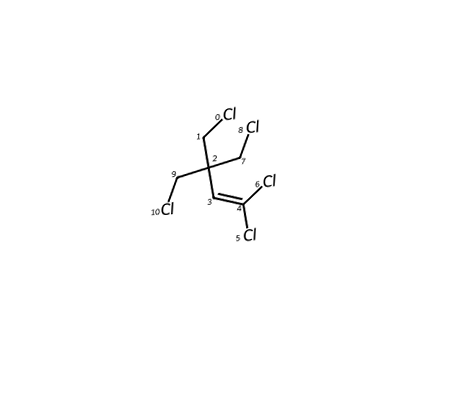 ClCC(C=C(Cl)Cl)(CCl)CCl